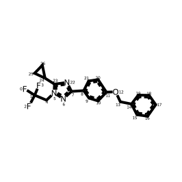 FC(F)(F)Cn1nc(-c2ccc(OCc3ccccc3)cc2)nc1C1CC1